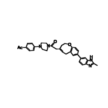 CC(=O)c1ccc(N2CCN(C(=O)C/C3=C/Cc4cc(-c5ccc6nc(C)[nH]c6c5)ccc4OCC3)CC2)cc1